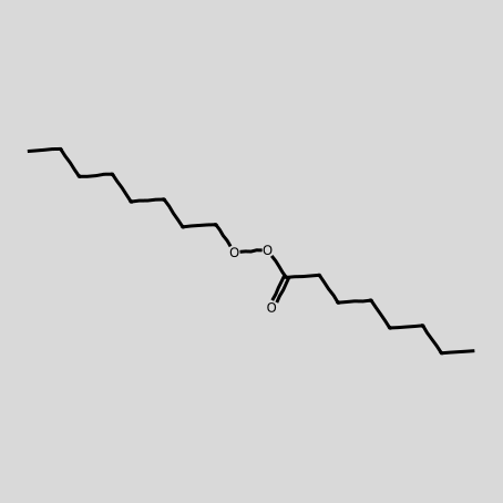 CCCCCCCCOOC(=O)CCCCCCC